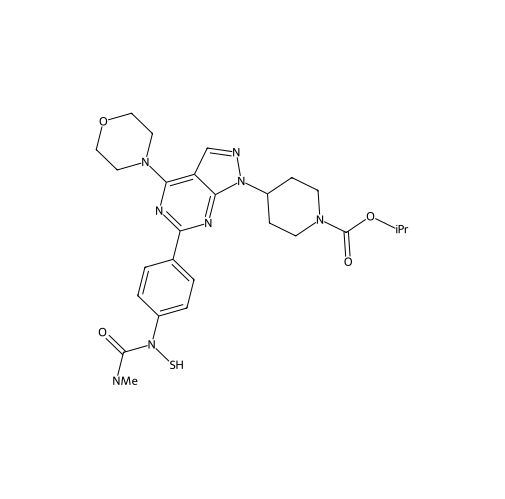 CNC(=O)N(S)c1ccc(-c2nc(N3CCOCC3)c3cnn(C4CCN(C(=O)OC(C)C)CC4)c3n2)cc1